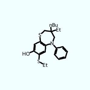 CCCCC1(CC)CSc2cc(O)c(SCC)cc2N(c2ccccc2)C1